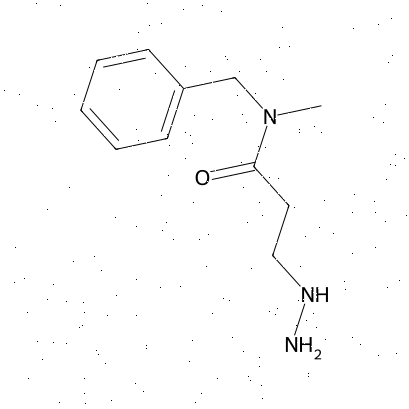 CN(Cc1ccccc1)C(=O)CCNN